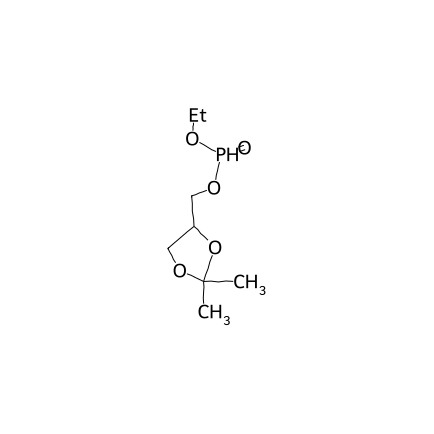 CCO[PH](=O)OCC1COC(C)(C)O1